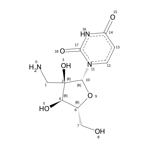 NC[C@@]1(O)[C@H](O)[C@@H](CO)O[C@H]1n1ccc(=O)[nH]c1=O